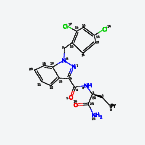 CC(C)C[C@H](NC(=O)c1nn(Cc2ccc(Cl)cc2Cl)c2ccccc12)C(N)=O